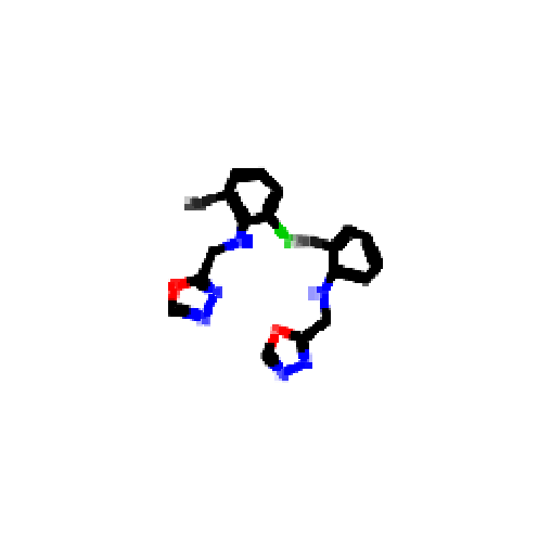 CC(C)(C)c1cccc(Cl)c1NCc1nnco1.CC(C)(C)c1ccccc1NCc1nnco1